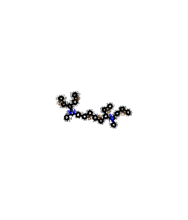 c1ccc(-c2cc(-c3ccc(-c4ccc5sc6c(-c7ccc8c(c7)sc7c(-c9cc(-c%10nc(-c%11ccccc%11)cc(-c%11ccc(-c%12cccc%13c%12sc%12ccccc%12%13)cc%11)n%10)cc(-c%10cccc%11c%10sc%10ccccc%10%11)c9)cccc78)cccc6c5c4)cc3)nc(-c3cc(-c4ccc5sc6ccccc6c5c4)cc(-c4ccc5sc6ccccc6c5c4)c3)n2)cc1